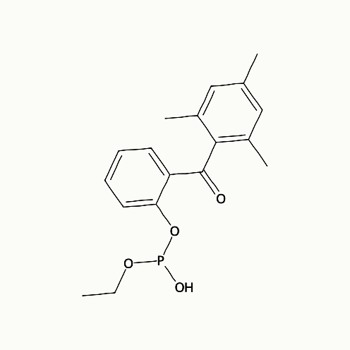 CCOP(O)Oc1ccccc1C(=O)c1c(C)cc(C)cc1C